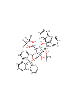 CC1(C)O[C@H]2[C@H](O1)C(COC(c1ccccc1)(c1ccccc1)c1ccccc1)=C(B1OC(C)(C)C(C)(C)O1)[C@@H]2O[Si](c1ccccc1)(c1ccccc1)C(C)(C)C